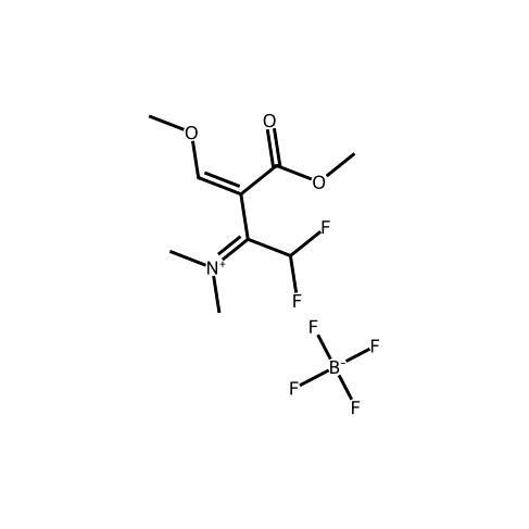 COC=C(C(=O)OC)C(C(F)F)=[N+](C)C.F[B-](F)(F)F